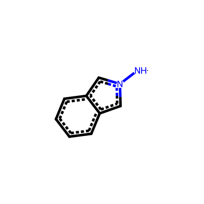 [NH]n1cc2ccccc2c1